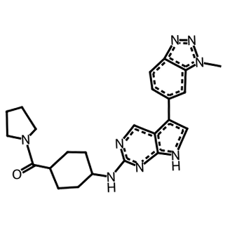 Cn1nnc2ccc(-c3c[nH]c4nc(NC5CCC(C(=O)N6CCCC6)CC5)ncc34)cc21